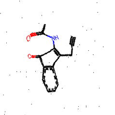 C#CCC1=C(NC(C)=O)C(=O)c2ccccc21